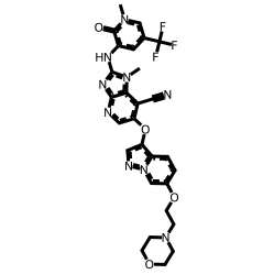 Cn1cc(C(F)(F)F)cc(Nc2nc3ncc(Oc4cnn5cc(OCCN6CCOCC6)ccc45)c(C#N)c3n2C)c1=O